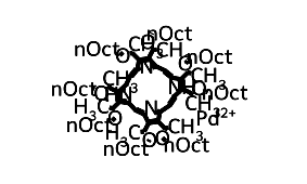 CCCCCCCCOC(C)C1=C(C(C)OCCCCCCCC)c2cc3[nH]c(cc4nc(cc5[nH]c(cc1n2)c(C(C)OCCCCCCCC)c5C(C)OCCCCCCCC)C(C(C)OCCCCCCCC)=C4C(C)OCCCCCCCC)c(C(C)OCCCCCCCC)c3C(C)OCCCCCCCC.[Pd+2]